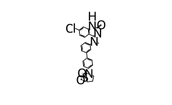 CN(c1cccc(-c2ccc(N3CCCS3(=O)=O)cc2)c1)c1nc(=O)[nH]c2cc(Cl)ccc12